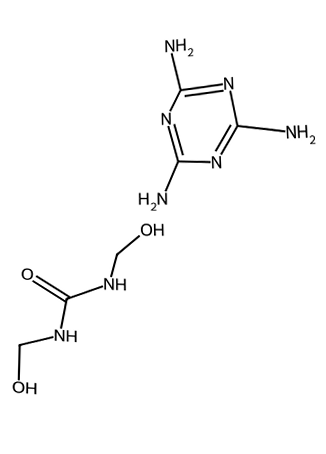 Nc1nc(N)nc(N)n1.O=C(NCO)NCO